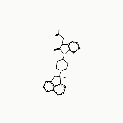 CCC(=O)C[C@]1(C)C(=O)N(C2CCN([C@@]3(C)Cc4cccc5cccc3c45)CC2)c2ccccc21